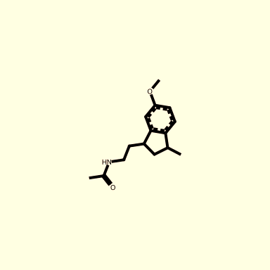 COc1ccc2c(c1)C(CCNC(C)=O)CC2C